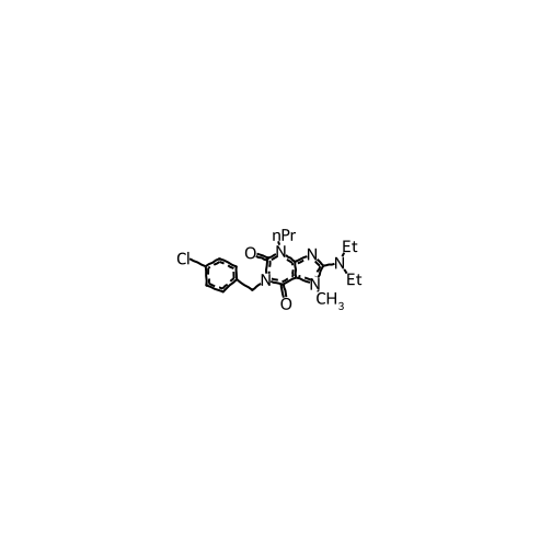 CCCn1c(=O)n(Cc2ccc(Cl)cc2)c(=O)c2c1nc(N(CC)CC)n2C